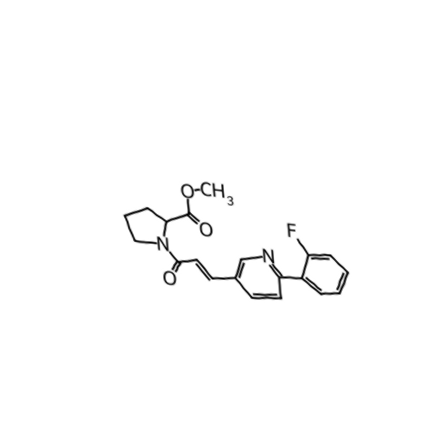 COC(=O)C1CCCN1C(=O)C=Cc1ccc(-c2ccccc2F)nc1